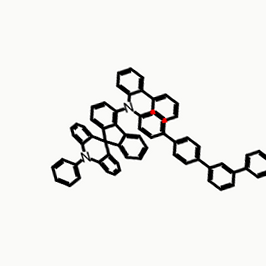 c1ccc(-c2cccc(-c3ccc(-c4ccc(N(c5ccccc5-c5ccccc5)c5cccc6c5-c5ccccc5C65c6ccccc6N(c6ccccc6)c6ccccc65)cc4)cc3)c2)cc1